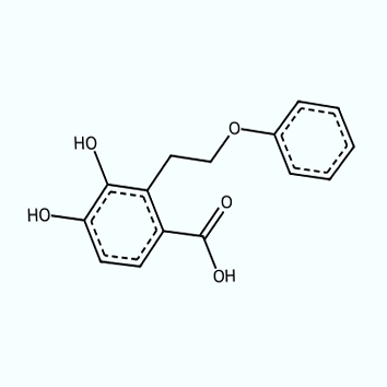 O=C(O)c1ccc(O)c(O)c1CCOc1ccccc1